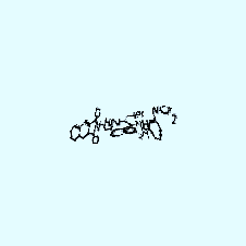 CC(C)C[C@@H](NC(CCN1C(=O)c2cc3ccccc3cc2C1=O)C(=O)O)C(=O)NCc1cccc([N+](=O)[O-])c1